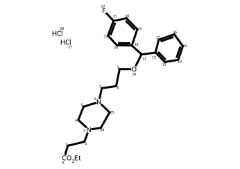 CCOC(=O)CCN1CCN(CCCOC(c2ccccc2)c2ccc(F)cc2)CC1.Cl.Cl